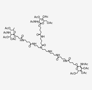 CC(=O)NC1=C(OC(C)=O)[C@@H](OC(C)=O)C(COC(C)=O)O[C@H]1OCCCC(=O)NCCCC(=O)NCCCNCCCN(CCCNC(=O)CCCNC(=O)CCO[C@H](OC(C)COC(C)=O)C(NC(C)=O)C(OC(C)=O)OC(C)=O)C(=O)CCCNC(=O)CCCO[C@@H]1OC(COC(C)=O)[C@H](OC(C)=O)C(OC(C)=O)[C@@H]1NC(C)=O